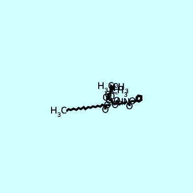 CCCCCCCCCCCCCCCCCC(=O)OC[C@H](COP(=O)([O-])OCC[N+](C)(C)C)OC(=O)CCCNC(=O)OCc1ccccc1